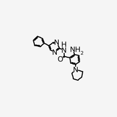 Nc1ccc(N2CCCCC2)cc1C(=O)Nc1ncc(-c2ccccc2)cn1